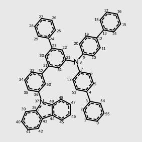 c1ccc(-c2ccc(N(c3ccc(-c4ccccc4)cc3)c3cc(-c4ccccc4)cc(-c4cccc(-n5c6ccccc6c6ccccc65)c4)c3)cc2)cc1